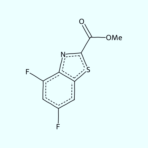 COC(=O)c1nc2c(F)cc(F)cc2s1